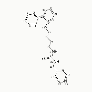 O=C(NCCCCOc1ccccc1-c1ccccc1)NCc1ccncc1